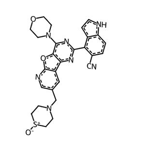 N#Cc1ccc2[nH]ccc2c1-c1nc(N2CCOCC2)c2oc3ncc(CN4CC[S+]([O-])CC4)cc3c2n1